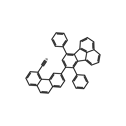 N#Cc1cccc2ccc3ccc(-c4cc(-c5ccccc5)c5c(c4-c4ccccc4)-c4cccc6cccc-5c46)cc3c12